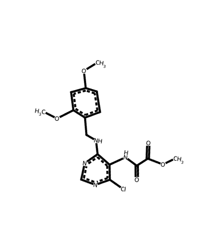 COC(=O)C(=O)Nc1c(Cl)ncnc1NCc1ccc(OC)cc1OC